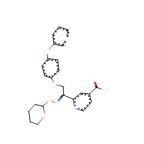 COC(=O)c1ccnc(/C(COc2ccc(Oc3ccccc3)cc2)=N/OC2CCCCO2)c1